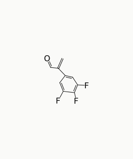 C=C(C=O)c1cc(F)c(F)c(F)c1